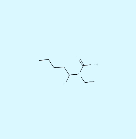 CCCCC(S)N(CC)C(=O)O